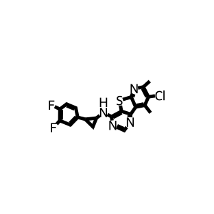 Cc1nc2sc3c(NC4CC4c4ccc(F)c(F)c4)ncnc3c2c(C)c1Cl